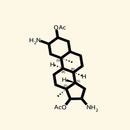 CC(=O)OC1CC2CC[C@@H]3[C@@H](CC[C@]4(C)C(OC(C)=O)C(N)C[C@@H]34)[C@@]2(C)CC1N